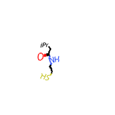 CC(C)CC(=O)NCCS